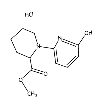 COC(=O)C1CCCCN1c1cccc(O)n1.Cl